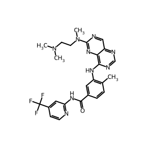 Cc1ccc(C(=O)Nc2cc(C(F)(F)F)ccn2)cc1Nc1ncnc2cnc(N(C)CCN(C)C)nc12